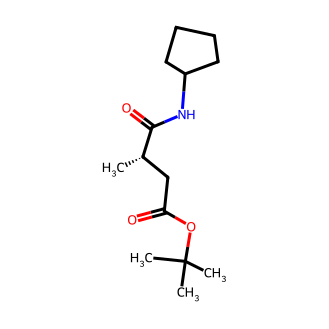 C[C@@H](CC(=O)OC(C)(C)C)C(=O)NC1CCCC1